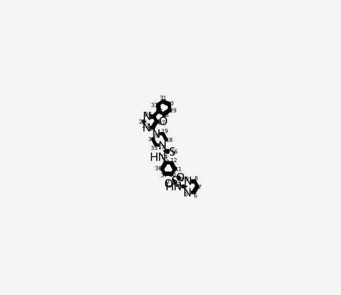 O=S(=O)(Nc1ncccn1)c1ccc(NC(=S)N2CCN(c3ncnc4c3oc3ccccc34)CC2)cc1